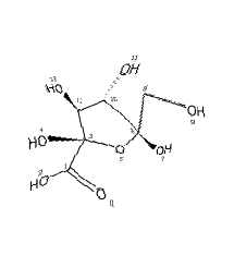 O=C(O)[C@@]1(O)O[C@@](O)(CO)[C@@H](O)[C@@H]1O